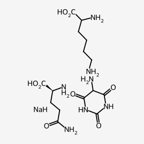 NC(=O)CC[C@H](N)C(=O)O.NC1C(=O)NC(=O)NC1=O.NCCCCC(N)C(=O)O.[NaH]